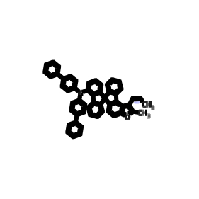 C/C=C\c1c(C)oc2ccc3c(c12)-c1ccccc1C31c2ccccc2-c2c(N(c3ccc(-c4ccccc4)cc3)c3ccc(-c4ccccc4)cc3)cccc21